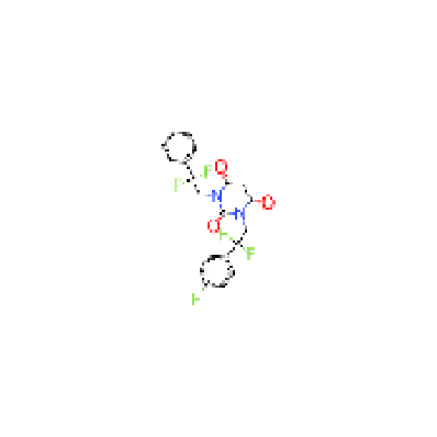 O=C1CC(=O)N(CC(F)(F)c2ccc(F)cc2)C(=O)N1CC(F)(F)c1ccccc1